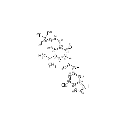 CC(C)c1nn(CC(=O)Nc2nc(Cl)c3nc[nH]c3n2)c(=O)c2ccc(C(F)(F)F)cc12